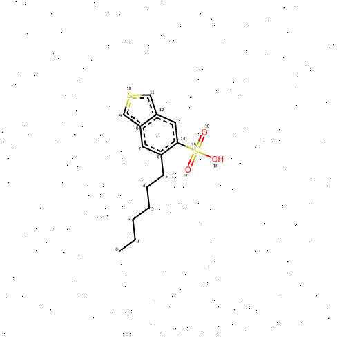 CCCCCCc1cc2cscc2cc1S(=O)(=O)O